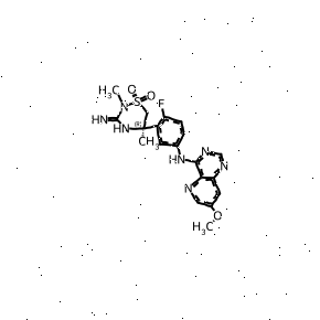 COc1cnc2c(Nc3ccc(F)c([C@]4(C)CS(=O)(=O)N(C)C(=N)N4)c3)ncnc2c1